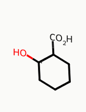 O=C(O)C1CCCC[C]1O